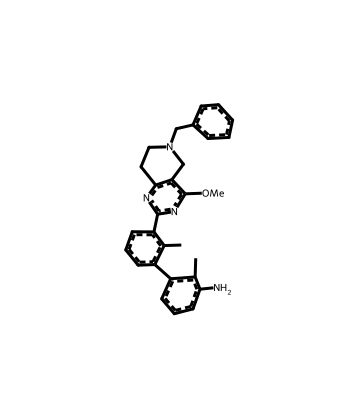 COc1nc(-c2cccc(-c3cccc(N)c3C)c2C)nc2c1CN(Cc1ccccc1)CC2